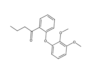 CCCC(=O)c1ccccc1Oc1cccc(OC)c1OC